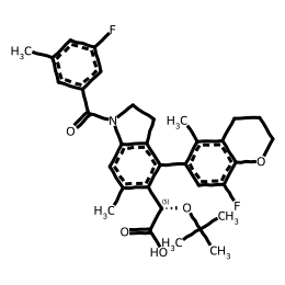 Cc1cc(F)cc(C(=O)N2CCc3c2cc(C)c([C@H](OC(C)(C)C)C(=O)O)c3-c2cc(F)c3c(c2C)CCCO3)c1